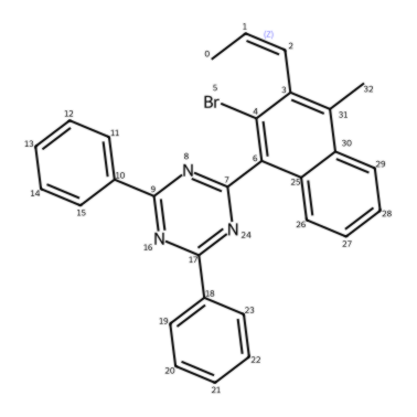 C/C=C\c1c(Br)c(-c2nc(-c3ccccc3)nc(-c3ccccc3)n2)c2ccccc2c1C